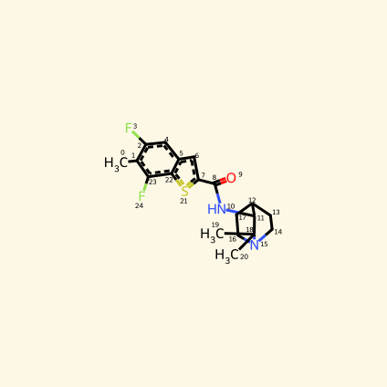 Cc1c(F)cc2cc(C(=O)NC3C4CCN(CC4)C3(C)C)sc2c1F